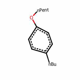 [CH2]CCCc1ccc(OCCCCC)cc1